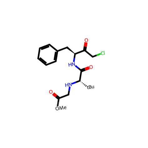 COC(=O)CN[C@H](C(=O)N[C@@H](Cc1ccccc1)C(=O)CCl)C(C)(C)C